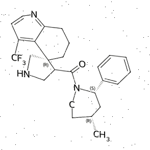 C[C@@H]1CCN(C(=O)C2CNC[C@]23CCCc2nccc(C(F)(F)F)c23)[C@H](c2ccccc2)C1